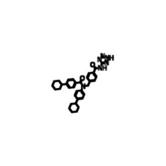 O=C(Nc1nn[nH]n1)c1ccc(CN(C(=O)c2ccc(C3CCCCC3)cc2)c2ccc(C3CCCCC3)cc2)cc1